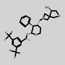 C[C@@H](O[C@H]1OCC[C@@H](CN2CC3(COC[C@@H]3O)C2)[C@@H]1c1ccccc1)c1cc(C(F)(F)F)cc(C(F)(F)F)c1